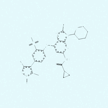 Cc1nn(C)c(C)c1-c1ccc(Nc2cc(NC(=O)C3CC3)nc3c2nc(C)n3C2CCCCO2)c(S(C)(=O)=O)c1